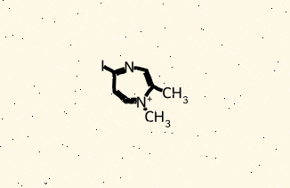 CC1=CN=C(I)C=C=[N+]1C